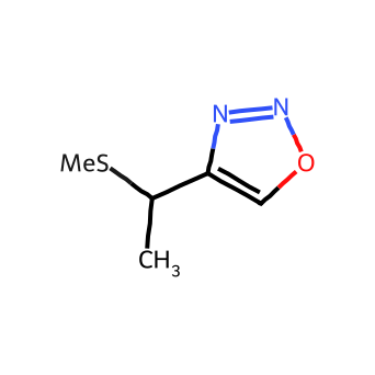 CSC(C)c1conn1